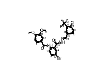 COc1ccc(C(=O)Nc2ccc(Br)cc2C(=O)NN=Cc2ccc(Cl)c(C(F)(F)F)c2)cc1OC